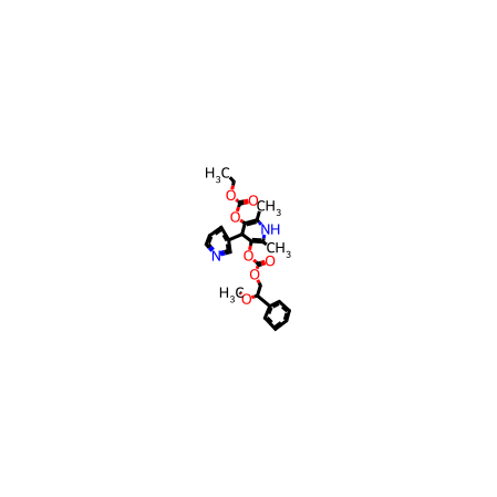 CCOC(=O)OC1=C(C)NC(C)=C(OC(=O)OCC(OC)c2ccccc2)C1c1cccnc1